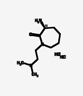 CN(C)CCN1CCCC[C@H](N)C1=O.Cl.Cl